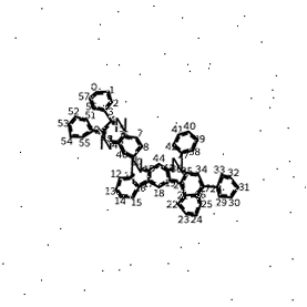 c1ccc(-c2nc3ccc(-n4c5ccccc5c5cc6c7c8ccccc8c(-c8ccccc8)cc7n(-c7ccccc7)c6cc54)cc3nc2-c2ccccc2)cc1